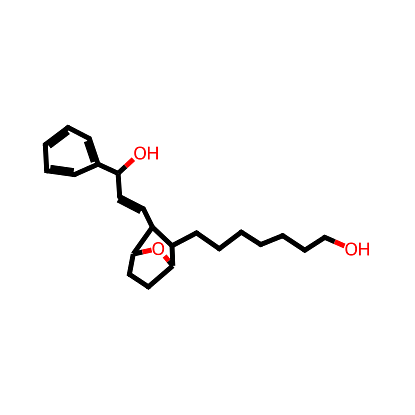 OCCCCCCCC1C2CCC(O2)C1/C=C/C(O)c1ccccc1